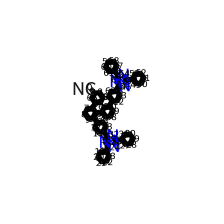 N#Cc1cccc(-c2cccc(-c3ccc(-c4nc(-c5ccccc5)nc(-c5ccccc5)n4)cc3)c2-c2cccc(-c3ccc(-c4nc(-c5ccccc5)nc(-c5ccccc5)n4)cc3)c2)c1